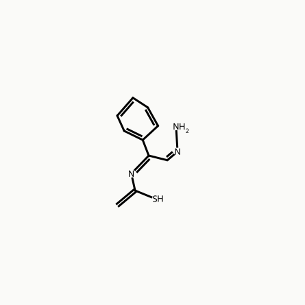 C=C(S)/N=C(\C=N/N)c1ccccc1